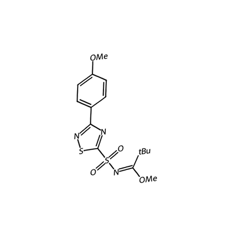 COC(=NS(=O)(=O)c1nc(-c2ccc(OC)cc2)ns1)C(C)(C)C